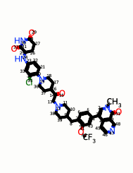 Cn1cc(-c2ccc(CC3CCN(CC(=O)C4CCN(c5ccc(NC6CCC(=O)NC6=O)cc5Cl)CC4)CC3)c(OC(F)(F)F)c2)c2ccncc2c1=O